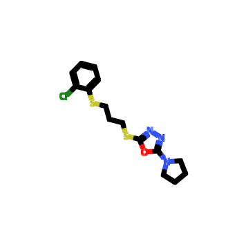 Clc1ccccc1SCCCSc1nnc(N2CCCC2)o1